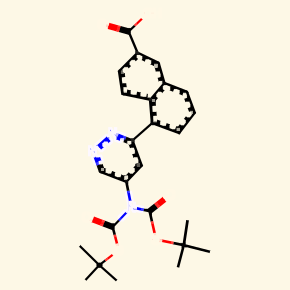 CC(C)(C)OC(=O)N(C(=O)OC(C)(C)C)c1cnnc(-c2cccc3cc(C(=O)O)ccc23)c1